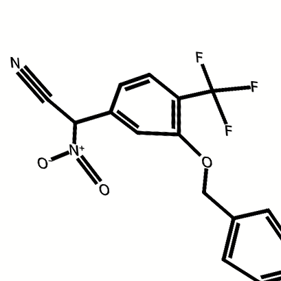 N#CC(c1ccc(C(F)(F)F)c(OCc2ccccc2)c1)[N+](=O)[O-]